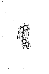 O=C(NNc1ccc(C(F)(F)F)cc1)c1ccccc1I